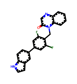 O=c1cnc2ccccc2n1Cc1c(F)cc(-c2ccc3[nH]ccc3c2)cc1F